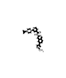 Cn1cc(-c2ccc3cnc(NC(=O)c4ccnc(N5CCN(C6CC6)CC5)c4)cc3c2)cn1